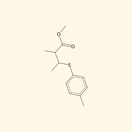 COC(=O)C(C)C(C)Sc1ccc(C)cc1